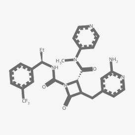 CC[C@@H](NC(=O)N1C(=O)C(Cc2ccnc(N)c2)[C@H]1C(=O)N(C)c1ccncc1)c1cccc(C(F)(F)F)c1